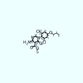 CCCOc1cc(Cl)c(-n2cnc(N)c(C(=O)OC)c2=O)c(Cl)c1